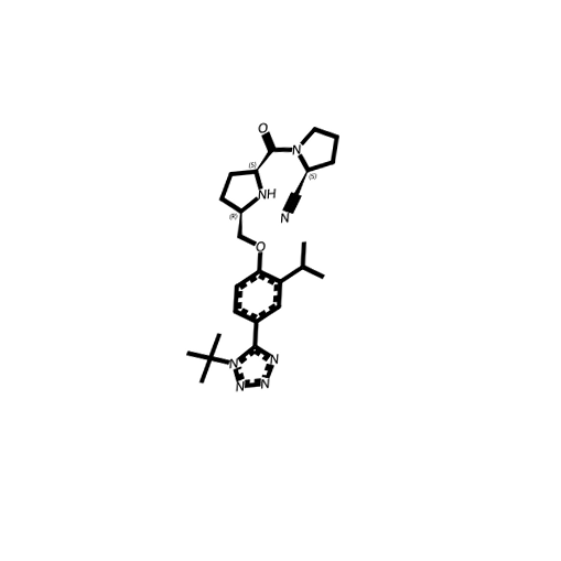 CC(C)c1cc(-c2nnnn2C(C)(C)C)ccc1OC[C@H]1CC[C@@H](C(=O)N2CCC[C@H]2C#N)N1